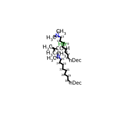 Br.C=C(C)C(=O)O.CCCCCCCCCCCCCCCCCCN(C)C.CCCCCCCCCCCCCCCCCCN(C)C